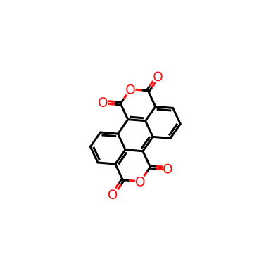 O=c1oc(=O)c2c3cccc4c(=O)oc(=O)c(c5cccc1c52)c43